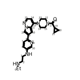 CCNCCNc1ccc(-c2cc3c(N4CCN(C(=O)C5CC5)CC4)ccnn3c2)nc1